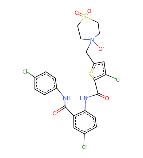 O=C(Nc1ccc(Cl)cc1)c1cc(Cl)ccc1NC(=O)c1sc(C[N+]2([O-])CCS(=O)(=O)CC2)cc1Cl